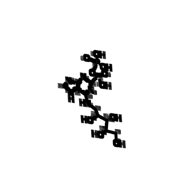 O=P(O)(O)OP(=O)(O)c1nc(NC[C@H](O)[C@H](O)[C@H](O)CO)c2[nH]cnc2n1